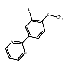 COc1ccc(-c2ncccn2)cc1F